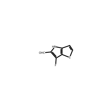 O=Cc1[nH]c2ccsc2c1F